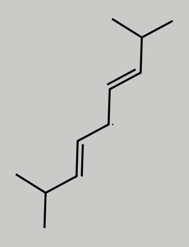 CC(C)C=C[CH]C=CC(C)C